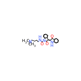 CN(C)CCCCNC(=O)N1C(=O)/C(=C2\Nc3ccccc3C2=O)c2ccccc21